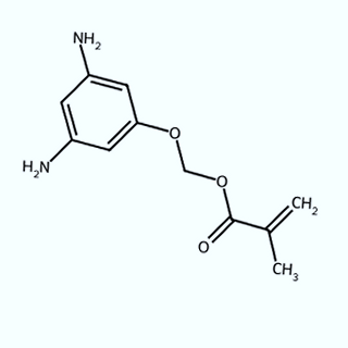 C=C(C)C(=O)OCOc1cc(N)cc(N)c1